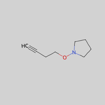 C#CCCON1CCCC1